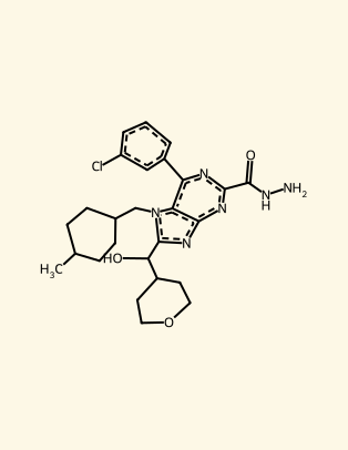 CC1CCC(Cn2c(C(O)C3CCOCC3)nc3nc(C(=O)NN)nc(-c4cccc(Cl)c4)c32)CC1